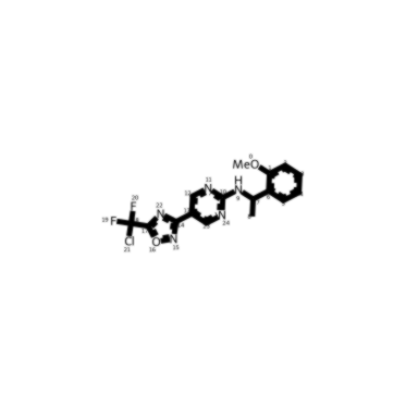 COc1ccccc1C(C)Nc1ncc(-c2noc(C(F)(F)Cl)n2)cn1